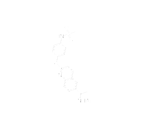 CC(=O)NC(C)c1ccc2nc(Oc3ccc(NS(C)(=O)=O)cc3)ccc2c1